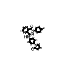 O=C(Nc1ccc(F)cc1)c1nccnc1C(=O)Nc1ccc(N2CCCC2=O)cc1